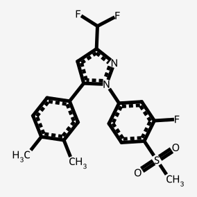 Cc1ccc(-c2cc(C(F)F)nn2-c2ccc(S(C)(=O)=O)c(F)c2)cc1C